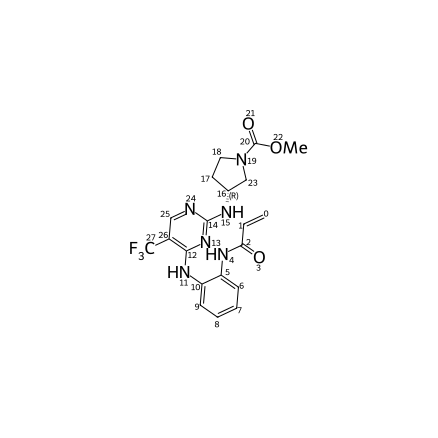 C=CC(=O)Nc1ccccc1Nc1nc(N[C@@H]2CCN(C(=O)OC)C2)ncc1C(F)(F)F